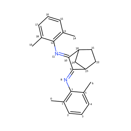 Cc1cccc(C)c1N=C1C(=Nc2c(C)cccc2C)C2CCC1C2